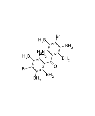 Bc1c(B)c(C(=O)c2c(B)c(B)c(Br)c(B)c2B)c(B)c(B)c1Br